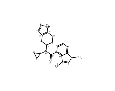 Cc1cn(C)c2cccc(C(=O)N(C3CC3)C3CCc4[nH]ncc4C3)c12